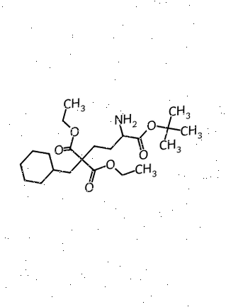 CCOC(=O)C(CCC(N)C(=O)OC(C)(C)C)(CC1CCCCC1)C(=O)OCC